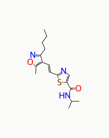 CCCCc1noc(C)c1C=Cc1ncc(C(=O)NC(C)C)s1